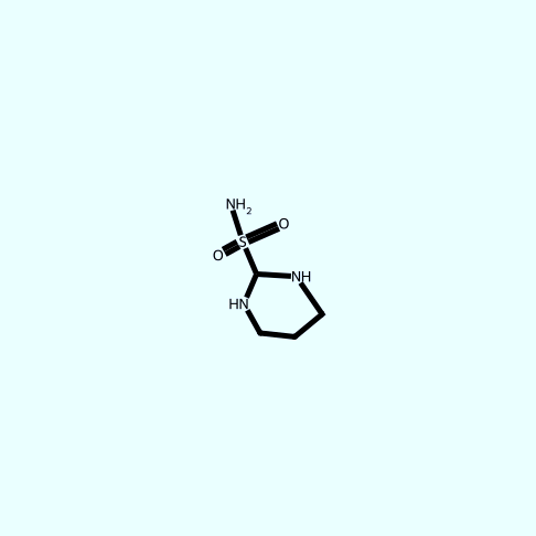 NS(=O)(=O)C1NCCCN1